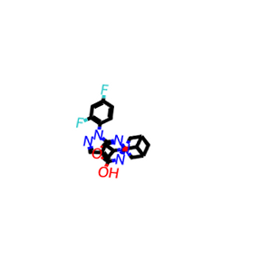 Oc1nc(C2C3CC2CN(C2COC2)C3)nc2c1cnn2-c1ccc(F)cc1F